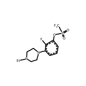 CCN1CCN(c2cccc(OS(=O)(=O)C(F)(F)F)c2F)CC1